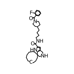 O=C(NCCCCC1CCN(C(=O)c2ccccc2F)CC1)c1cc2c([nH]1)C1(CCCCCCCCCC1)CNC2